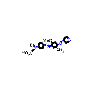 CCN(CCC(=O)O)c1ccc(/N=N/c2cc(C)c(/N=N/c3ccncc3)cc2OC)cc1